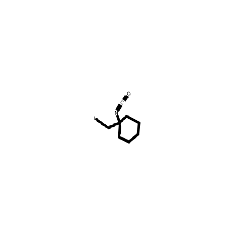 O=C=NC1(CI)CCCCC1